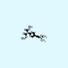 C[SiH](C)C#Cc1cnc(N(C(=O)OC(C)(C)C)C(=O)OC(C)(C)C)nc1